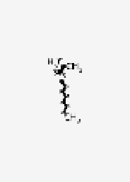 CCCCCCCCSC(=S)C(C)C